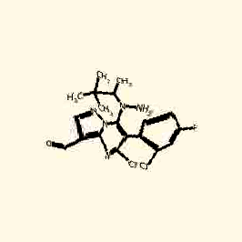 CC(N(N)c1c(-c2ccc(F)cc2Cl)c(Cl)nc2c(C=O)cnn12)C(C)(C)C